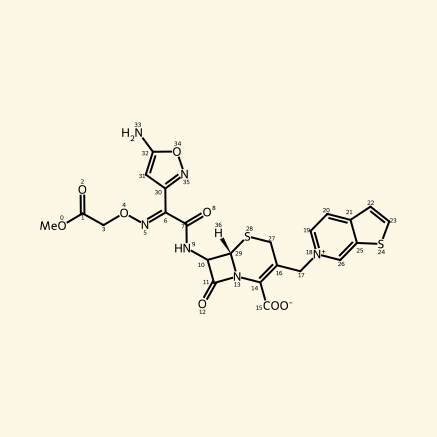 COC(=O)CON=C(C(=O)NC1C(=O)N2C(C(=O)[O-])=C(C[n+]3ccc4ccsc4c3)CS[C@@H]12)c1cc(N)on1